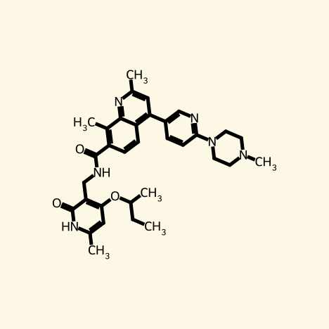 CCC(C)Oc1cc(C)[nH]c(=O)c1CNC(=O)c1ccc2c(-c3ccc(N4CCN(C)CC4)nc3)cc(C)nc2c1C